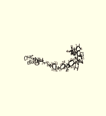 CN(c1ccccc1Nc1nc(Nc2ccc(N3CCC(N4CCN(CCCCC(=O)NC(C=O)C(C)(C)C)CC4)CC3)c(F)c2)ncc1Cl)[S+](C)[O-]